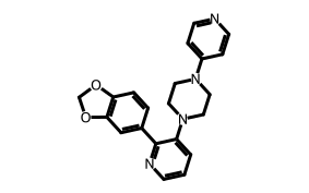 c1cnc(-c2ccc3c(c2)OCO3)c(N2CCN(c3ccncc3)CC2)c1